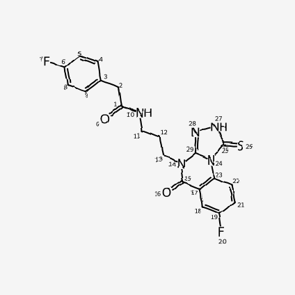 O=C(Cc1ccc(F)cc1)NCCCn1c(=O)c2cc(F)ccc2n2c(=S)[nH]nc12